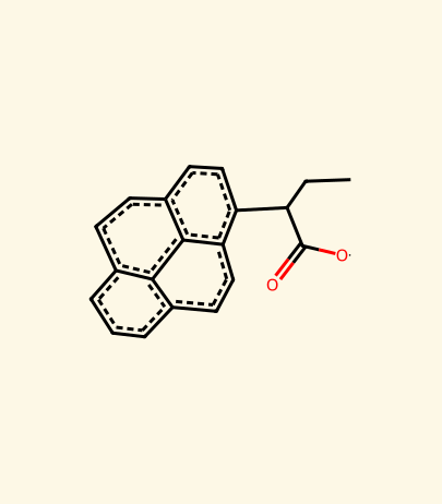 CCC(C([O])=O)c1ccc2ccc3cccc4ccc1c2c34